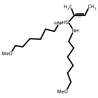 C/C=C(\C)[SiH](NCCCCCCOC)NCCCCCCOC